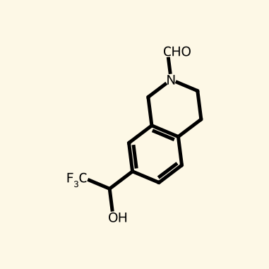 O=CN1CCc2ccc(C(O)C(F)(F)F)cc2C1